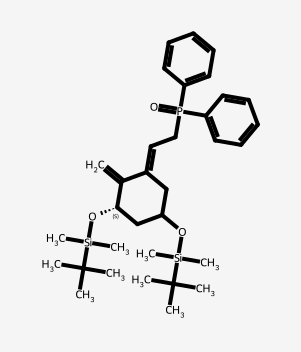 C=C1C(=CCP(=O)(c2ccccc2)c2ccccc2)CC(O[Si](C)(C)C(C)(C)C)C[C@@H]1O[Si](C)(C)C(C)(C)C